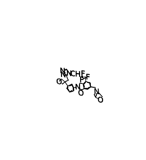 Cn1cnnc1CC1(c2cccc(N3Cc4c(cc(CN5CC6CC5CO6)cc4C(F)(F)F)C3=O)c2)COC1